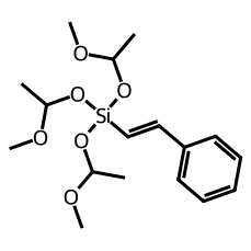 COC(C)O[Si](C=Cc1ccccc1)(OC(C)OC)OC(C)OC